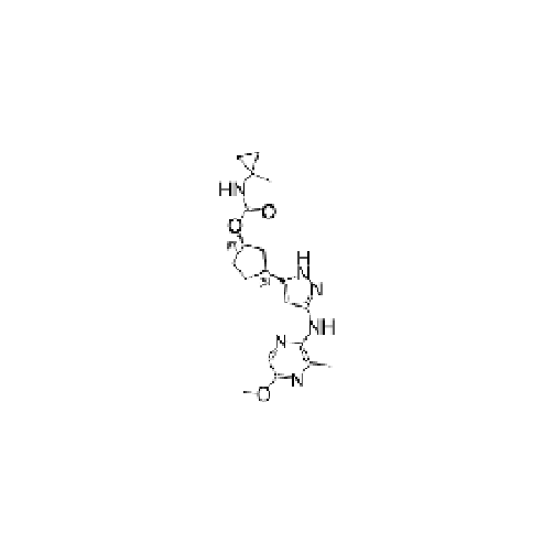 COc1cnc(Nc2cc([C@H]3CC[C@@H](OC(=O)NC4(C)CC4)C3)[nH]n2)c(C)n1